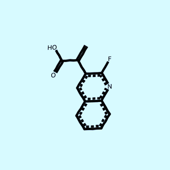 C=C(C(=O)O)c1cc2ccccc2nc1F